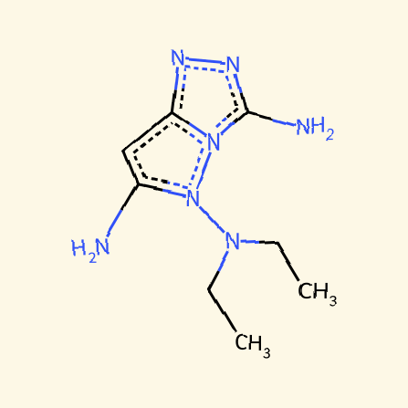 CCN(CC)n1c(N)cc2nnc(N)n21